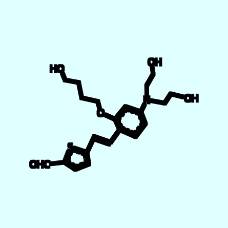 O=Cc1ccc(C=Cc2ccc(N(CCO)CCO)cc2OCCCCO)s1